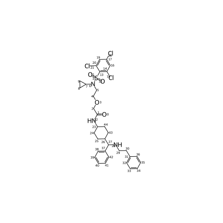 O=C(COCCN(C1CC1)S(=O)(=O)c1c(Cl)cc(Cl)cc1Cl)NC1CCC(C(NCCc2ccccc2)c2ccccc2)CC1